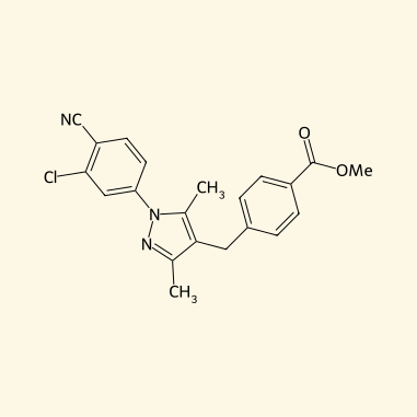 COC(=O)c1ccc(Cc2c(C)nn(-c3ccc(C#N)c(Cl)c3)c2C)cc1